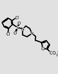 O=C(O)c1ccc(CCN2CCN(S(=O)(=O)c3c(Cl)cccc3Cl)CC2)o1